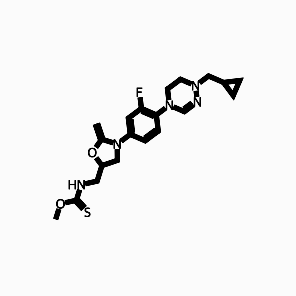 C=C1OC(CNC(=S)OC)CN1c1ccc(N2C=NN(CC3CC3)CC2)c(F)c1